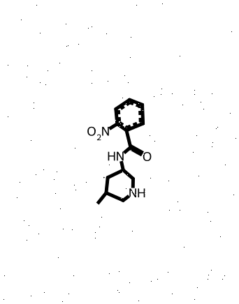 CC1[CH]C(NC(=O)c2ccccc2[N+](=O)[O-])CNC1